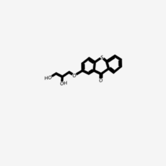 O=c1c2ccccc2sc2ccc(OCC(O)CO)cc12